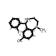 CN1CCNC(c2ccccc2F)c2cc(Cl)ccc21